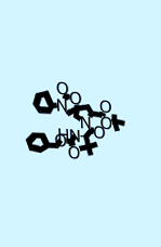 CC(C)(C)OC(=O)C1CC2(CN(c3ccccc3)C(=O)O2)CN1C(=O)[C@@H](NC(=O)OCc1ccccc1)C(C)(C)C